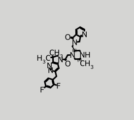 C[C@@H]1CN(CC(=O)N2CC(C)(C)c3nnc(Cc4ccc(F)cc4F)cc32)[C@@H](CN2Cc3ncccc3C2=O)CN1